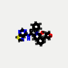 C[C@H](Nc1ncnc2scnc12)c1cc2cccc(-c3ccoc3)c2c(=O)n1-c1ccccc1